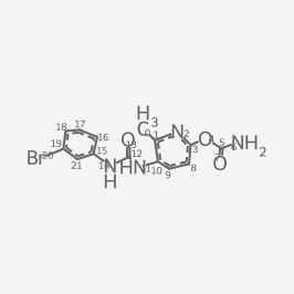 Cc1nc(OC(N)=O)ccc1NC(=O)Nc1cccc(Br)c1